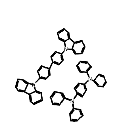 c1ccc(N(c2ccccc2)c2ccc(N(c3ccccc3)c3ccccc3)cc2)cc1.c1ccc2c(c1)c1ccccc1n2-c1ccc(-c2ccc(-n3c4ccccc4c4ccccc43)cc2)cc1